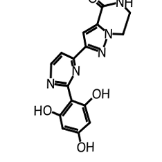 O=C1NCCn2nc(-c3ccnc(-c4c(O)cc(O)cc4O)n3)cc21